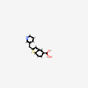 O=C(O)c1ccc2sc(Cc3cccnc3)cc2c1